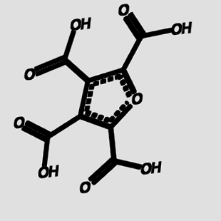 O=C(O)c1oc(C(=O)O)c(C(=O)O)c1C(=O)O